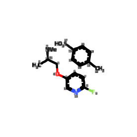 CN[C@H](C)COc1ccc(F)nc1.Cc1ccc(S(=O)(=O)O)cc1